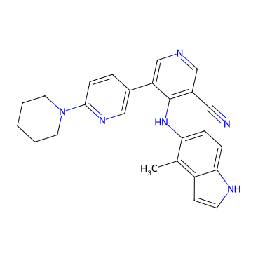 Cc1c(Nc2c(C#N)cncc2-c2ccc(N3CCCCC3)nc2)ccc2[nH]ccc12